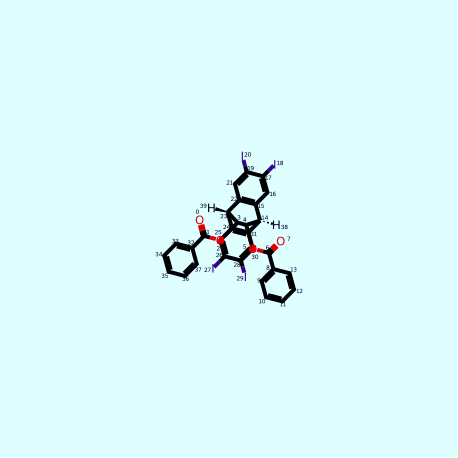 O=C(OC1C(OC(=O)c2ccccc2)[C@H]2c3cc(I)c(I)cc3[C@H]1c1cc(I)c(I)cc12)c1ccccc1